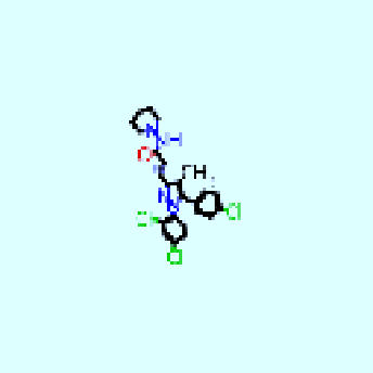 Cc1c(/C=C/C(=O)NN2CCCCC2)nn(-c2ccc(Cl)cc2Cl)c1-c1ccc(Cl)cc1